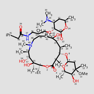 CC[C@H]1OC(=O)[C@H](C)[C@@H](O[C@H]2C[C@@](C)(OC)[C@@H](O)[C@H](C)O2)[C@H](C)[C@@H](O[C@@H]2O[C@H](C)C[C@H](N(C)C)[C@H]2OCCCNC(=O)CC(C)C)[C@](C)(O)C[C@@H](C)CN(C)[C@H](C)[C@@H](O)[C@]1(C)O